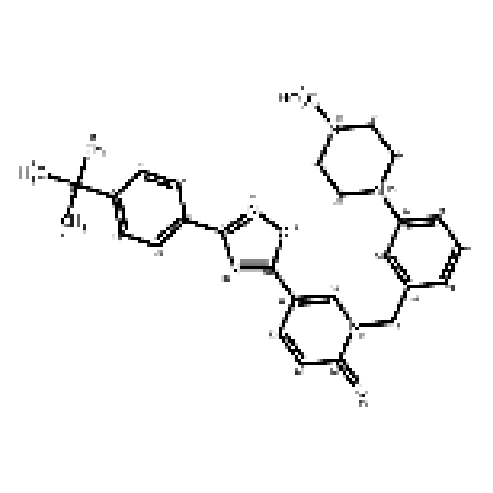 CC(C)(c1ccc(-c2noc(-c3ccc(=O)n(Cc4cccc(N5CCN(C(=O)O)CC5)c4)c3)n2)cc1)C(F)(F)F